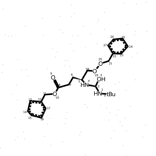 CC(C)(C)NC(O)N[C@@H](CCC(=O)OCc1ccccc1)COOCc1ccccc1